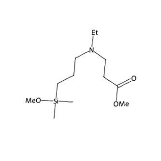 CCN(CCC[Si](C)(C)OC)CCC(=O)OC